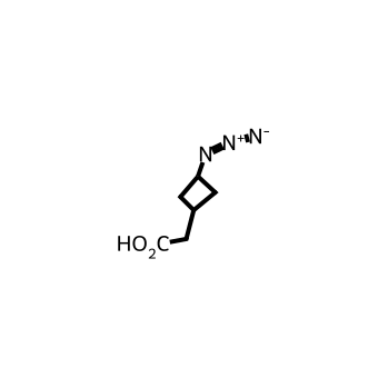 [N-]=[N+]=NC1CC(CC(=O)O)C1